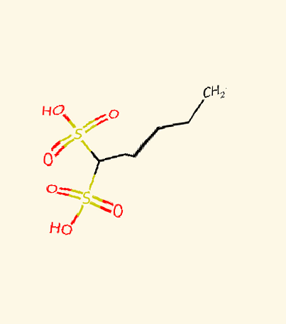 [CH2]CCCC(S(=O)(=O)O)S(=O)(=O)O